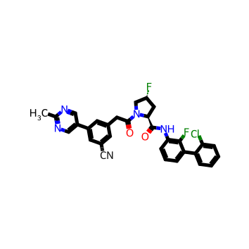 Cc1ncc(-c2cc(C#N)cc(CC(=O)N3C[C@H](F)C[C@H]3C(=O)Nc3cccc(-c4ccccc4Cl)c3F)c2)cn1